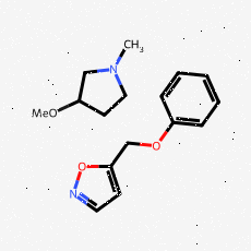 COC1CCN(C)C1.c1ccc(OCc2ccno2)cc1